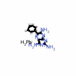 Nc1nc(N)c2nc(-c3ccccc3)c(N)nc2n1.[PbH2]